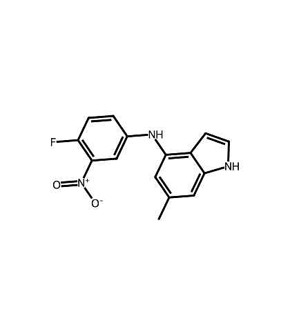 Cc1cc(Nc2ccc(F)c([N+](=O)[O-])c2)c2cc[nH]c2c1